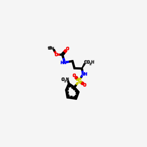 CC(C)(C)OC(=O)NCC[C@H](NS(=O)(=O)c1ccccc1[N+](=O)[O-])C(=O)O